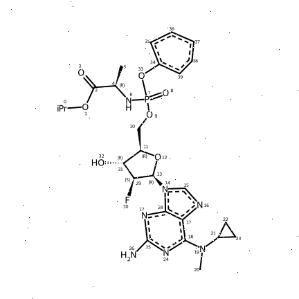 CC(C)OC(=O)[C@@H](C)NP(=O)(OC[C@H]1O[C@@H](n2cnc3c(N(C)C4CC4)nc(N)nc32)[C@@H](F)[C@@H]1O)Oc1ccccc1